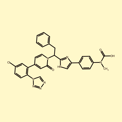 CN(C(=O)O)c1ccc(-c2c[nH]c(C(Cc3ccccc3)n3ccc(-c4cc(Cl)ccc4-n4cnnn4)cc3=O)n2)cc1